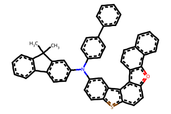 CC1(C)c2ccccc2-c2ccc(N(c3ccc(-c4ccccc4)cc3)c3ccc4sc5ccc6oc7c8ccccc8ccc7c6c5c4c3)cc21